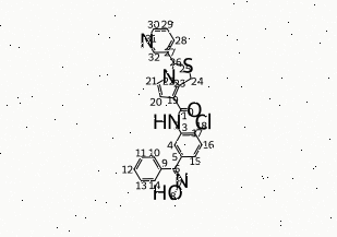 O=C(Nc1cc(C(=NO)c2ccccc2)ccc1Cl)c1ccn2c1CSC2c1cccnc1